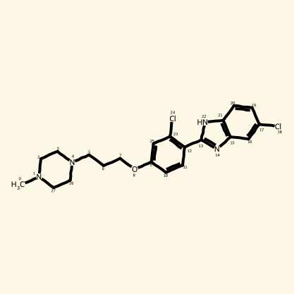 CN1CCN(CCCOc2ccc(-c3nc4cc(Cl)ccc4[nH]3)c(Cl)c2)CC1